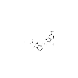 CCC(CC)N1C(=O)c2cccc(N=NC3=C(O)c4ccc(C(F)(F)F)cc4C3=O)c2C1=O